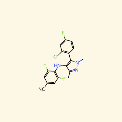 Cc1nn(C)c(-c2ccc(F)cc2Cl)c1Nc1c(F)cc(C#N)cc1F